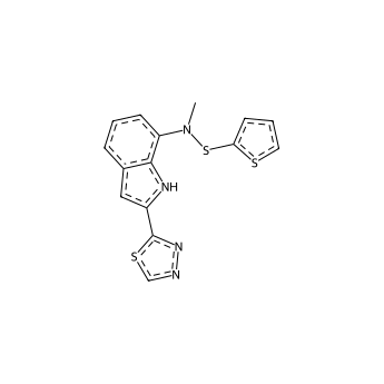 CN(Sc1cccs1)c1cccc2cc(-c3nncs3)[nH]c12